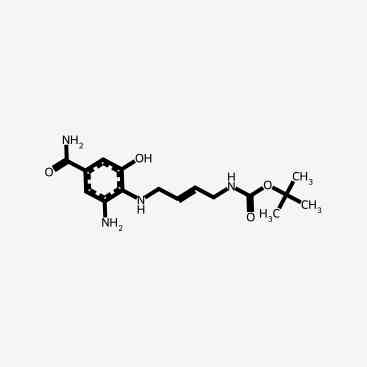 CC(C)(C)OC(=O)NC/C=C/CNc1c(N)cc(C(N)=O)cc1O